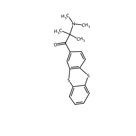 CN(C)C(C)(C)C(=O)c1ccc2c(c1)Sc1ccccc1S2